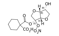 O=C(O)C1(C(=O)O[C@]2(O[N+](=O)[O-])CO[C@@H]3[C@H](O)CO[C@@H]32)CCCCC1